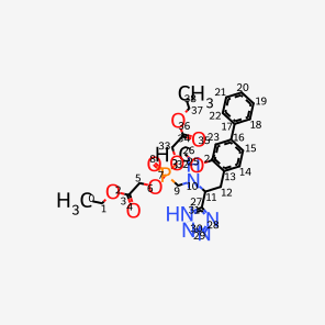 CCOC(=O)COP(=O)(CNC(Cc1ccc(-c2ccccc2)cc1OC)c1nnn[nH]1)OCC(=O)OCC